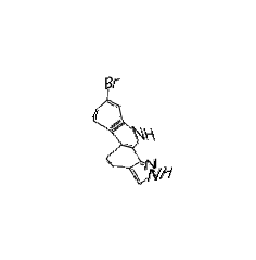 Brc1ccc2c3c([nH]c2c1)-c1n[nH]cc1CC3